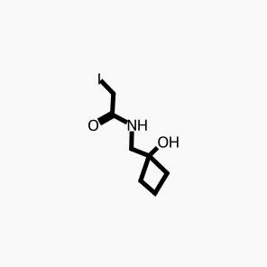 O=C(CI)NCC1(O)CCC1